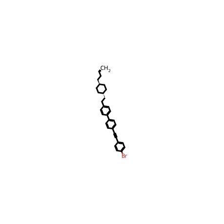 C=CCC[C@H]1CC[C@H](CCc2ccc(-c3ccc(C#Cc4ccc(Br)cc4)cc3)cc2)CC1